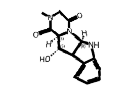 CN1CC(=O)N2[C@H](C1=O)[C@@H](O)C1c3ccccc3N[C@@H]12